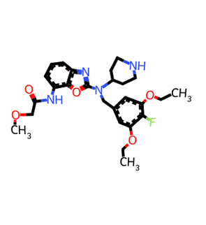 CCOc1cc(CN(c2nc3cccc(NC(=O)COC)c3o2)C2CCNCC2)cc(OCC)c1F